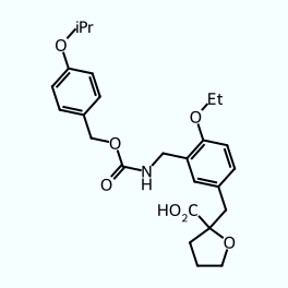 CCOc1ccc(CC2(C(=O)O)CCCO2)cc1CNC(=O)OCc1ccc(OC(C)C)cc1